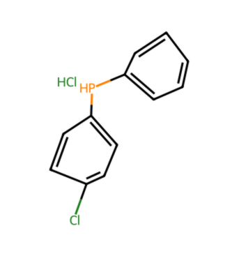 Cl.Clc1ccc(Pc2ccccc2)cc1